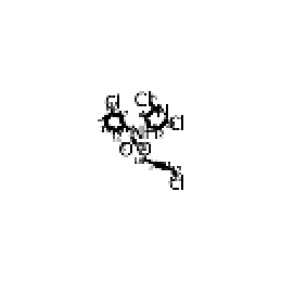 Clc1cccc(Cl)n1.O=C(Nc1cccc(Cl)c1)OCC#CCCl